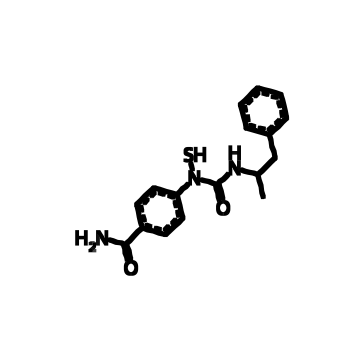 CC(Cc1ccccc1)NC(=O)N(S)c1ccc(C(N)=O)cc1